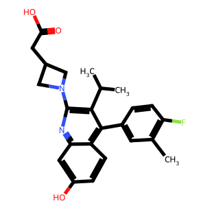 Cc1cc(-c2c(C(C)C)c(N3CC(CC(=O)O)C3)nc3cc(O)ccc23)ccc1F